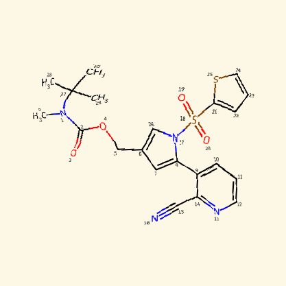 CN(C(=O)OCc1cc(-c2cccnc2C#N)n(S(=O)(=O)c2cccs2)c1)C(C)(C)C